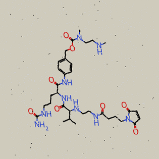 CNCCN(C)C(=O)OCc1ccc(NC(=O)[C@H](CCCNC(N)=O)NC(=O)[C@@H](NCCNC(=O)CCCN2C(=O)C=CC2=O)C(C)C)cc1